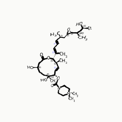 CC[C@H](O)[C@@H](C)[C@H]1O[C@@H]1C[C@H](C)/C=C/C=C(\C)[C@H]1OC(=O)C[C@H](O)CC[C@@](C)(O)[C@@H](OC(=O)N2CC[N+](C)(C)CC2)/C=C/[C@@H]1C